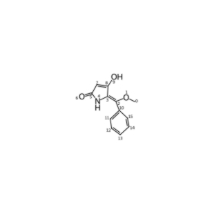 CO/C(=C1/NC(=O)C=C1O)c1ccccc1